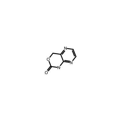 O=C1[N]c2nccnc2CO1